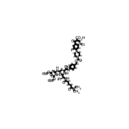 CCn1cc(C(=O)O)c(=O)c2cc(F)c(N3CCN(C(=O)OCc4ccc(NC(=O)[C@H](CCN/C(=N/C(=O)OC(C)(C)C)NC(=O)OC(C)(C)C)NC(=O)[C@@H](NC(=O)CCCC(=O)N(C)C)C(C)C)cc4)CC3)cc21